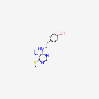 C=Nc1c(NCCc2ccc(O)cc2)ncnc1SC